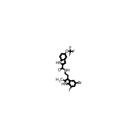 Cc1[nH]c2c(F)cc(Br)cc2c1CCNC(=O)c1cc2cc(OC(F)(F)F)ccc2[nH]1